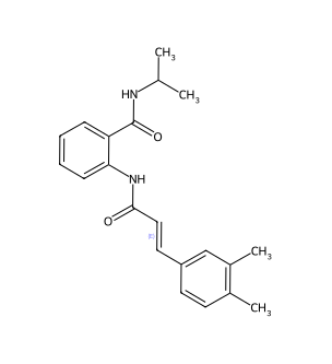 Cc1ccc(/C=C/C(=O)Nc2ccccc2C(=O)NC(C)C)cc1C